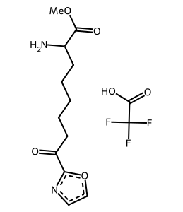 COC(=O)C(N)CCCCCC(=O)c1ncco1.O=C(O)C(F)(F)F